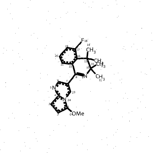 COc1ccc2ncc(C3=NC(C)(C)C(C)(C)c4c(F)cccc43)cn12